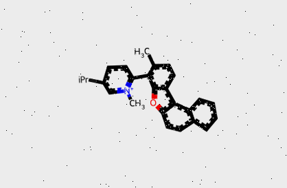 Cc1ccc2c(oc3ccc4ccccc4c32)c1-c1ccc(C(C)C)c[n+]1C